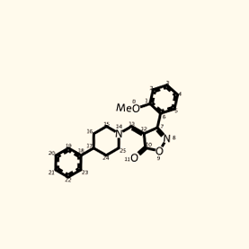 COc1ccccc1C1=NOC(=O)C1=CN1CCC(c2ccccc2)CC1